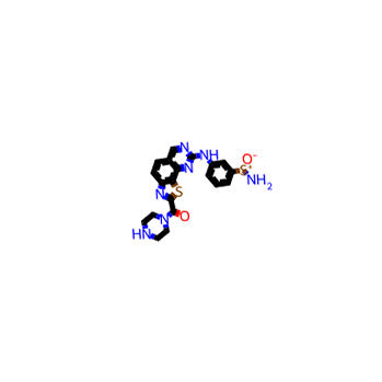 N[S+]([O-])c1cccc(Nc2ncc3ccc4nc(C(=O)N5CCNCC5)sc4c3n2)c1